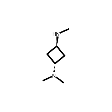 CN[C@H]1C[C@H](N(C)C)C1